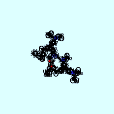 CCC(C)Oc1ccc(C(=O)c2ccc3c(c2)c2cc(/C(CCCC/C(=N/OC(C)=O)c4ccc5c(c4)c4cc(C(=O)c6ccc(OC)c(OC7CCCCC7)c6)ccc4n5-c4ccc(/C(CCC(=O)OC)=N/OC(C)=O)cc4)=N\OC(C)=O)ccc2n3-c2ccc(/C(CCC(=O)OC)=N/OC(C)=O)cc2)cc1OC1CCCCO1